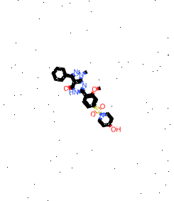 COc1cc(S(=O)(=O)N2CCC(O)CC2)ccc1-c1nc2c(c(C3CCCCC3)nn2C)c(=O)[nH]1